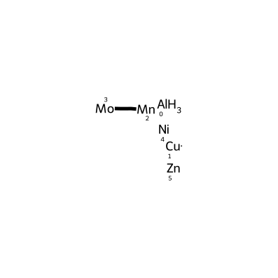 [AlH3].[Cu].[Mn][Mo].[Ni].[Zn]